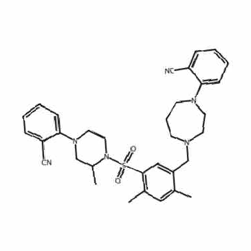 Cc1cc(C)c(S(=O)(=O)N2CCN(c3ccccc3C#N)CC2C)cc1CN1CCCN(c2ccccc2C#N)CC1